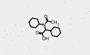 CC(=O)N(C1CCCCC1)C(C(=O)O)C1CCCCC1